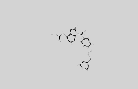 Cc1cc2c(CC(=O)O)cccc2n1C(=O)c1ccc(OCCc2ccncc2)cc1